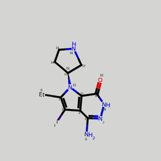 CCc1c(I)c2c(N)n[nH]c(=O)c2n1[C@H]1CCNC1